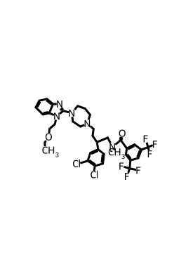 CCOCCn1c(N2CCCN(CCC(CN(C)C(=O)c3cc(C(F)(F)F)cc(C(F)(F)F)c3)c3ccc(Cl)c(Cl)c3)CC2)nc2ccccc21